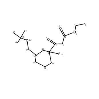 CCOC(=O)CC(=O)C1(F)CCCN(COC(C)(C)C)C1